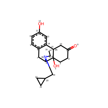 O=C1CCC2(O)C3Cc4ccc(O)cc4[C@@]2(CCN3CC2CC2)C1